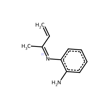 C=C/C(C)=N\c1ccccc1N